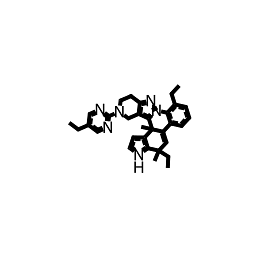 CCc1cnc(N2CCc3nn4c(c3C2)C2(C)C(=CC(C)(CC)c3[nH]ccc32)c2cccc(CC)c2-4)nc1